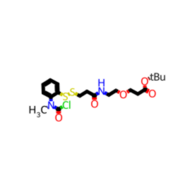 CN(C(=O)Cl)c1ccccc1SSCCC(=O)NCCOCCC(=O)OC(C)(C)C